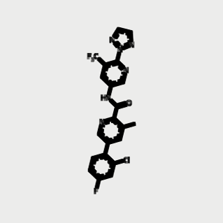 Cc1cc(-c2ccc(F)cc2Cl)cnc1C(=O)Nc1cnc(-n2nccn2)c(C(F)(F)F)c1